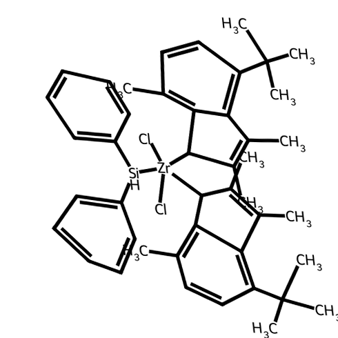 CC1=C(C)[CH]([Zr]([Cl])([Cl])([CH]2C(C)=C(C)c3c(C(C)(C)C)ccc(C)c32)[SiH](c2ccccc2)c2ccccc2)c2c(C)ccc(C(C)(C)C)c21